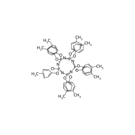 Cc1ccc(OP2(Cl)=NP(Oc3ccc(C)cc3)(Oc3ccc(C)cc3)=NP(Oc3ccc(C)cc3)(Oc3ccc(C)cc3)=NP(Oc3ccc(C)cc3)(Oc3ccc(C)cc3)=NP(Oc3ccc(C)cc3)(Oc3ccc(C)cc3)=N2)cc1